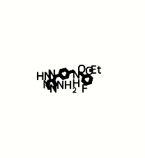 CCOc1ccc(F)cc1C(=O)NCc1ccc(-c2n[nH]c3ncnc(N)c23)cc1